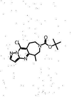 CC1CN(C(=O)OC(C)(C)C)CCc2c1nc1ccnn1c2Cl